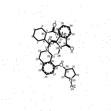 CNC(=O)[C@@H]1CCCCC1C(=O)N1CCc2cccc(O[C@H]3CCN(C(C)=O)C3)c2[C@H]1CN1C(=O)c2ccccc2C1=O